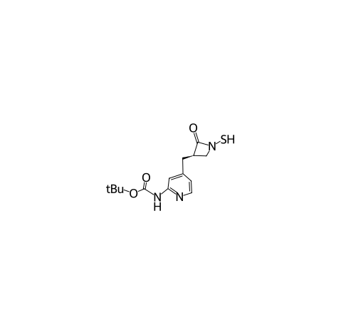 CC(C)(C)OC(=O)Nc1cc(C[C@@H]2CN(S)C2=O)ccn1